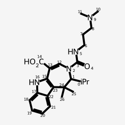 CC(C)C1N(C(=O)NCCCN(C)C)C=C(C(=O)O)c2[nH]c3ccccc3c2C1(C)C